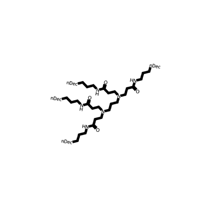 CCCCCCCCCCCCCNC(=O)CCN(CCCN(CCC(=O)NCCCCCCCCCCCCC)CCC(=O)NCCCCCCCCCCCCC)CCC(=O)NCCCCCCCCCCCCC